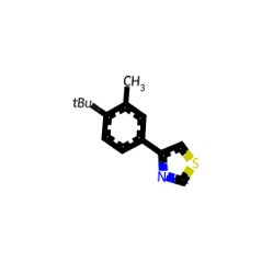 Cc1cc(-c2cs[c]n2)ccc1C(C)(C)C